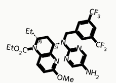 CCOC(=O)N1c2ccc(OC)nc2[C@@H](N(Cc2cc(C(F)(F)F)cc(C(F)(F)F)c2)c2ncc(N)cn2)C[C@H]1CC